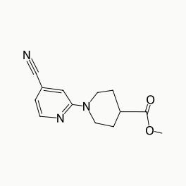 COC(=O)C1CCN(c2cc(C#N)ccn2)CC1